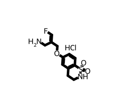 Cl.NC/C(=C\F)COc1ccc2c(c1)CCNS2(=O)=O